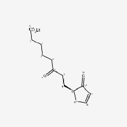 CCOC(=O)CCCCC(=O)CC[C@@H]1CC=CC1=O